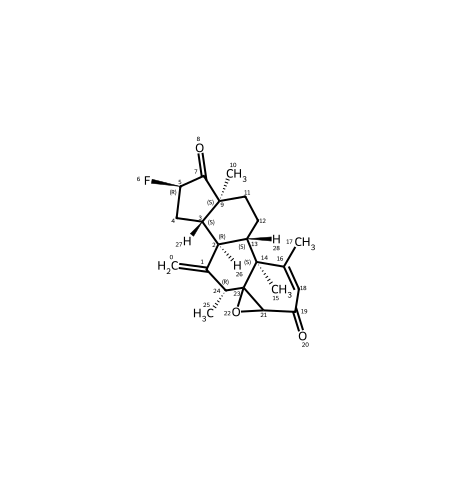 C=C1[C@H]2[C@@H]3C[C@@H](F)C(=O)[C@@]3(C)CC[C@@H]2[C@@]2(C)C(C)=CC(=O)C3OC32[C@@H]1C